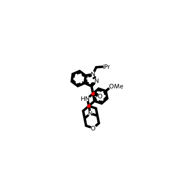 COc1ccc(CN2C3COCC2CC(NC(=O)c2nn(CC(C)C)c4ccccc24)C3)cc1